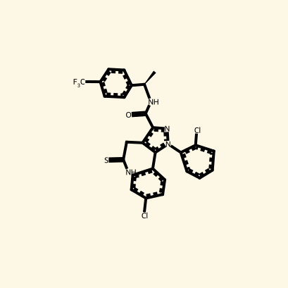 C[C@@H](NC(=O)c1nn(-c2ccccc2Cl)c(-c2ccc(Cl)cc2)c1CC(N)=S)c1ccc(C(F)(F)F)cc1